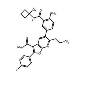 CNC(=O)c1c(-c2ccc(F)cc2)oc2nc(CCC(F)(F)F)c(-c3ccc(OC)c(C(=O)NC4(C#N)CCC4)c3)cc12